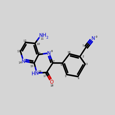 N#Cc1cccc(-c2nc3c(N)ccnc3[nH]c2=O)c1